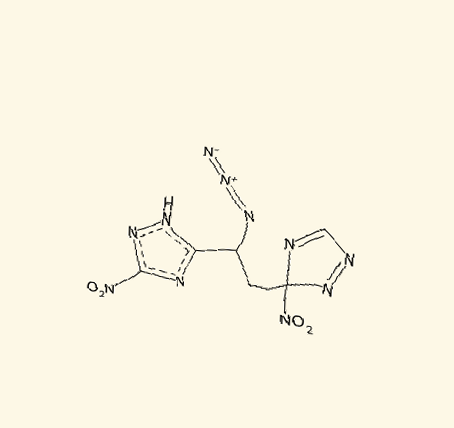 [N-]=[N+]=NC(CC1([N+](=O)[O-])N=CN=N1)c1nc([N+](=O)[O-])n[nH]1